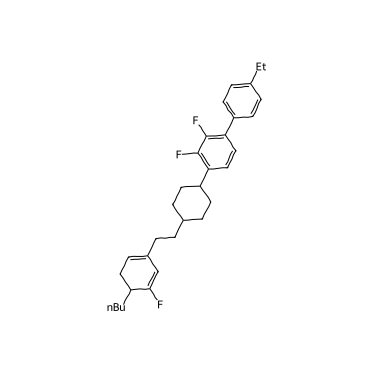 CCCCC1CC=C(CCC2CCC(c3ccc(-c4ccc(CC)cc4)c(F)c3F)CC2)C=C1F